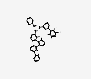 Bc1c(B)c(B)c(-c2cccc(-c3nc(-c4ccccc4)nc(-c4cccc5c4oc4cccc(-c6cccc7c6oc6ccccc67)c45)n3)c2)c(B)c1B